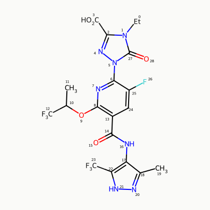 CCn1c(C(=O)O)nn(-c2nc(OC(C)C(F)(F)F)c(C(=O)Nc3c(C)n[nH]c3C(F)(F)F)cc2F)c1=O